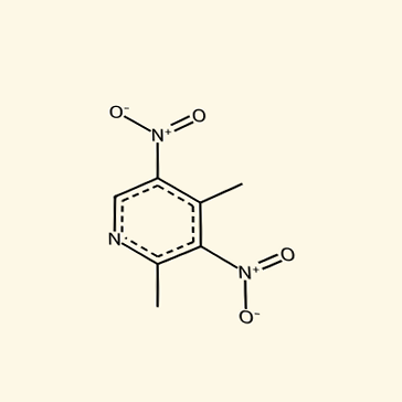 Cc1ncc([N+](=O)[O-])c(C)c1[N+](=O)[O-]